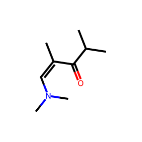 CC(=CN(C)C)C(=O)C(C)C